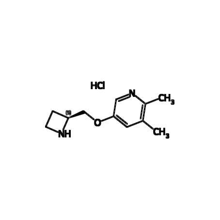 Cc1cc(OC[C@@H]2CCN2)cnc1C.Cl